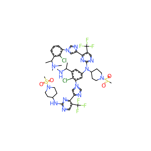 CNC(C)c1cc(N(c2ncc(C(F)(F)F)c(-c3cn(-c4cccc(C(C)N(C)C)c4Cl)cn3)n2)C2CCN(S(C)(=O)=O)CC2)cc(-n2cnc(-c3nc(NC4CCN(S(C)(=O)=O)CC4)ncc3C(F)(F)F)c2)c1Cl